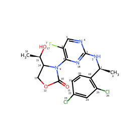 C[C@H](Nc1ncc(F)c(N2C(=O)OCC2[C@@H](C)O)n1)c1ccc(Cl)cc1Cl